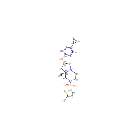 O=S(=O)(c1ccc(Cl)s1)N1CCN2C[C@@H](Oc3cnc(C4CC4)cn3)C[C@H]2C1